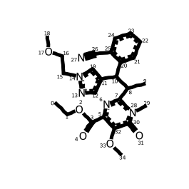 CCOC(=O)c1nc(C(C)C(c2cnn(CCOC)c2)c2ccccc2C#N)n(C)c(=O)c1OC